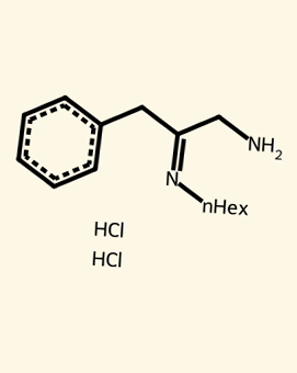 CCCCCCN=C(CN)Cc1ccccc1.Cl.Cl